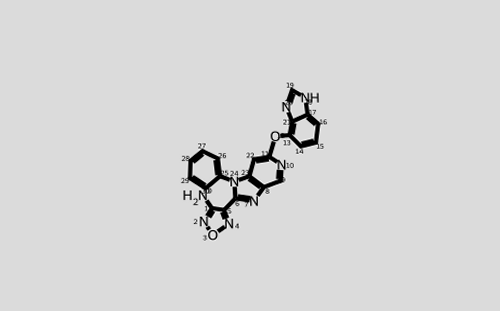 Nc1nonc1-c1nc2cnc(Oc3cccc4[nH]cnc34)cc2n1-c1ccccc1